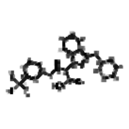 NC(=O)C(NCc1cccc(C(F)(F)F)c1)c1cn(Cc2ccccc2)c2ccccc12